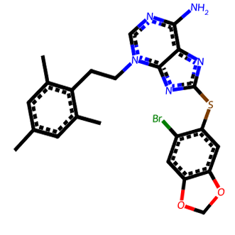 Cc1cc(C)c(CCn2cnc(N)c3nc(Sc4cc5c(cc4Br)OCO5)nc2-3)c(C)c1